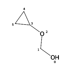 OCOC1CC1